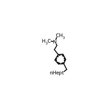 CCCCCCCCc1ccc(CCN(C)C)cc1